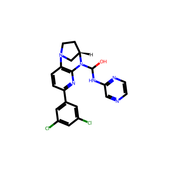 OC(Nc1cnccn1)N1c2nc(-c3cc(Cl)cc(Cl)c3)ccc2N2CC[C@H]1C2